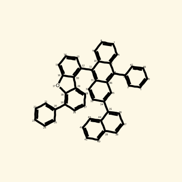 c1ccc(-c2c3ccccc3c(-c3cccc4oc5c(-c6ccccc6)cccc5c34)c3ccc(-c4cccc5ccccc45)cc23)cc1